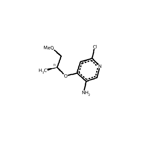 COC[C@H](C)Oc1cc(Cl)ncc1N